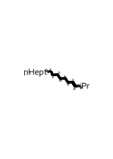 CCCCCCCCCCCCCC=CC(C)C